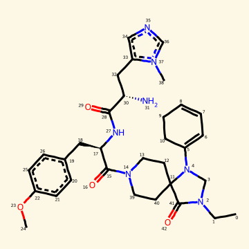 CCN1CN(C2=CC=CCC2)C2(CCN(C(=O)[C@@H](Cc3ccc(OC)cc3)NC(=O)[C@@H](N)Cc3cncn3C)CC2)C1=O